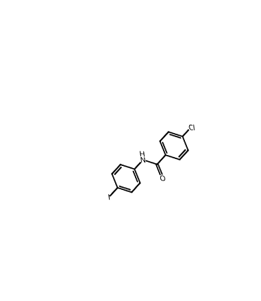 O=C(Nc1ccc(I)cc1)c1ccc(Cl)cc1